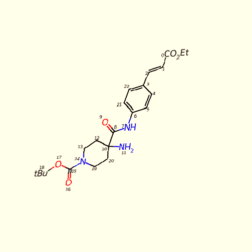 CCOC(=O)/C=C/c1ccc(NC(=O)C2(N)CCN(C(=O)OC(C)(C)C)CC2)cc1